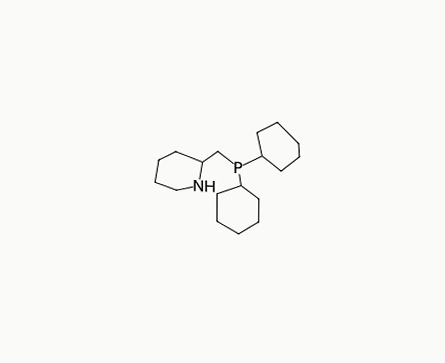 C1CCC(P(CC2CCCCN2)C2CCCCC2)CC1